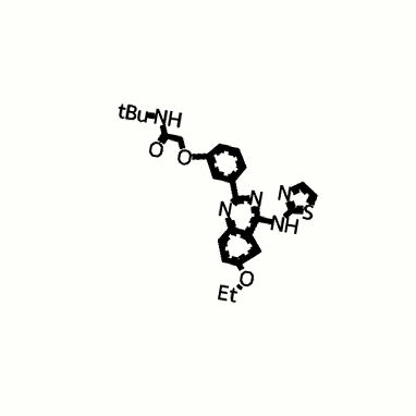 CCOc1ccc2nc(-c3cccc(OCC(=O)NC(C)(C)C)c3)nc(Nc3nccs3)c2c1